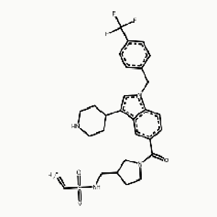 C=CS(=O)(=O)NCC1CCN(C(=O)c2ccc3c(c2)c(C2CCNCC2)cn3Cc2ccc(C(F)(F)F)cc2)C1